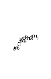 Cn1cc(-c2ccc3cnc(NC(=O)C4CCN(C(=O)CN5CCCC5)CC4)cc3n2)nn1